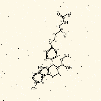 CCOC(O)N1CCc2c([nH]c3ccc(Cl)cc23)[C@@H]1c1ccc(OCCC(O)CNC(=O)CC)cc1